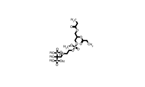 CCC(=O)OCC(COP(=O)(OC)OCCNCC(O)(P(=O)(O)O)P(=O)(O)O)OC(=O)CC